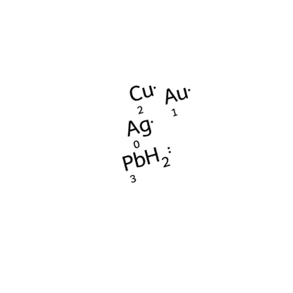 [Ag].[Au].[Cu].[PbH2]